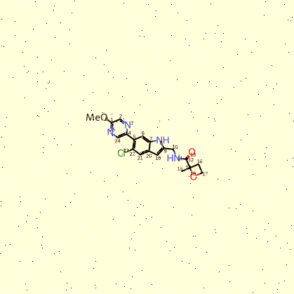 COc1cnc(-c2cc3[nH]c(CNC(=O)C4(C)CCO4)cc3cc2Cl)cn1